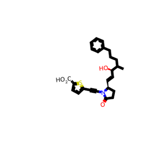 CC(CCCc1ccccc1)[C@H](O)/C=C/[C@H]1CCC(=O)N1C#Cc1ccc(C(=O)O)s1